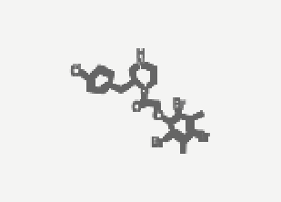 Cc1c(Br)c(C)c(Br)c(OCC(=O)N2CCNCC2Cc2ccc(Cl)cc2)c1Br